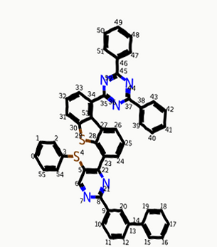 c1ccc(Sc2cnc(-c3cccc(-c4ccccc4)c3)nc2-c2cccc3c2sc2cccc(-c4nc(-c5ccccc5)nc(-c5ccccc5)n4)c23)cc1